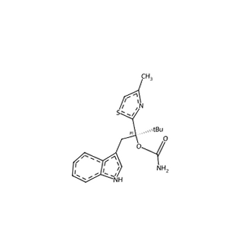 Cc1csc([C@](Cc2c[nH]c3ccccc23)(OC(N)=O)C(C)(C)C)n1